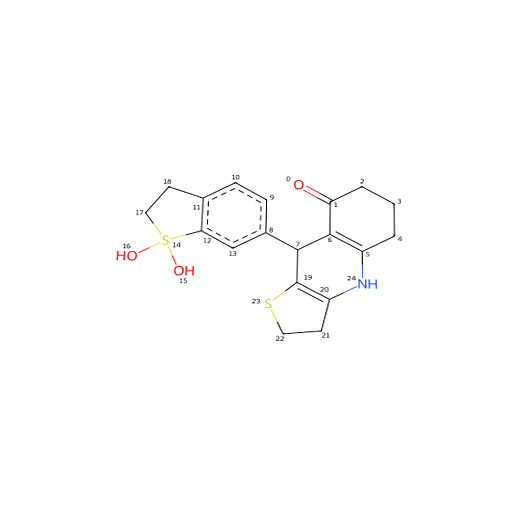 O=C1CCCC2=C1C(c1ccc3c(c1)S(O)(O)CC3)C1=C(CCS1)N2